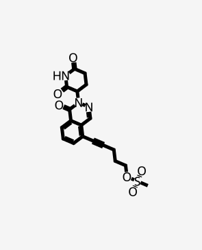 CS(=O)(=O)OCCCC#Cc1cccc2c(=O)n(C3CCC(=O)NC3=O)ncc12